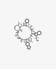 C=CC(C)(C)n1cc(C[C@@H]2NC(=O)[C@H](Cc3ccccc3)NC(=O)[C@H](CC(C)C)N3CC/C=C\C[C@@H](C3=O)N(C)C(=O)[C@H](C)NC(=O)C(Cc3ccc4csnc4c3)NC(=O)[C@H](CC(C)C)N(C)C2=O)c2ccccc21